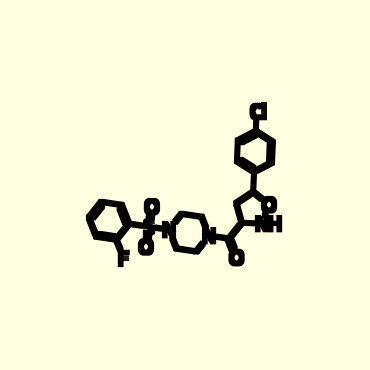 O=C(C1CC(c2ccc(Cl)cc2)ON1)N1CCN(S(=O)(=O)c2ccccc2F)CC1